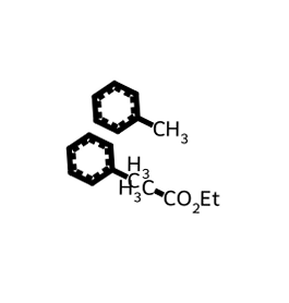 CCOC(C)=O.Cc1ccccc1.Cc1ccccc1